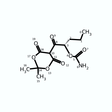 CCC[C@H](OC(N)=O)C(=O)C1C(=O)OC(C)(C)OC1=O